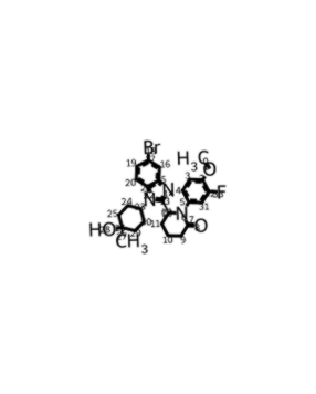 COc1ccc(N2C(=O)CCC[C@H]2c2nc3cc(Br)ccc3n2[C@H]2CC[C@@](C)(O)CC2)cc1F